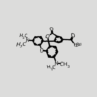 CN(C)c1ccc2c(c1)Oc1cc(N(C)C)ccc1C21OC(=O)c2cc(C(=O)C(C)(C)C)ccc21